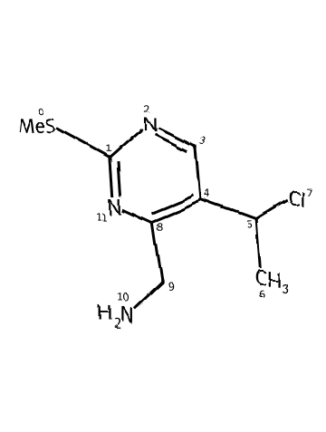 CSc1ncc(C(C)Cl)c(CN)n1